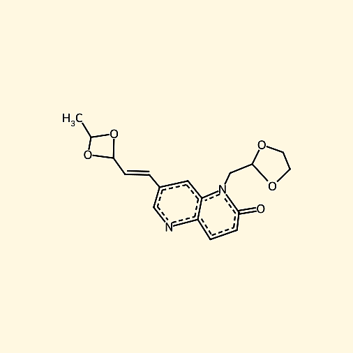 CC1OC(/C=C/c2cnc3ccc(=O)n(CC4OCCO4)c3c2)O1